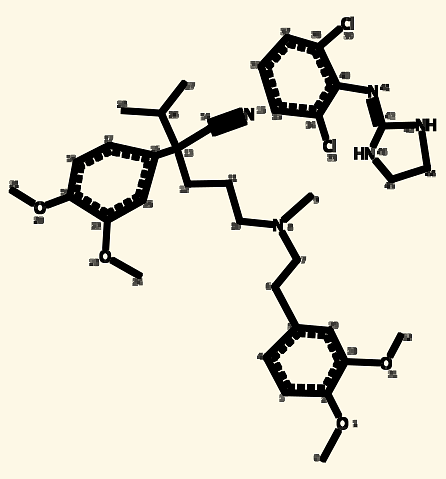 COc1ccc(CCN(C)CCCC(C#N)(c2ccc(OC)c(OC)c2)C(C)C)cc1OC.Clc1cccc(Cl)c1N=C1NCCN1